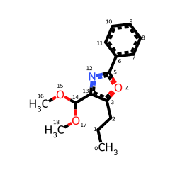 CCCc1oc(-c2ccccc2)nc1C(OC)OC